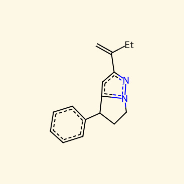 C=C(CC)c1cc2n(n1)CCC2c1ccccc1